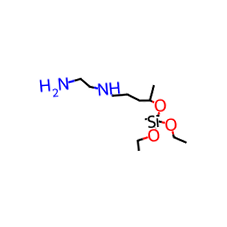 CCO[Si](C)(OCC)OC(C)CCCNCCN